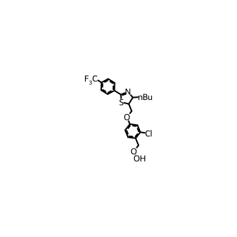 CCCCC1N=C(c2ccc(C(F)(F)F)cc2)SC1COc1ccc(COO)c(Cl)c1